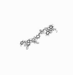 CC(C)(C)[Si](C)(C)OC(CNCC1CCCC(CNC(=O)CCN2CCC(C(C(N)=O)(c3ccccc3)c3ccccc3)C2)C1)c1ccc(OCc2ccccc2)c2[nH]c(=O)ccc12